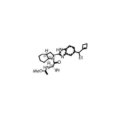 C=C(N[C@H](C(=O)N1[C@H](c2nc3cc(C(CC)C4=CCC4)ccc3[nH]2)C[C@@H]2CCCC[C@@H]21)C(C)C)OC